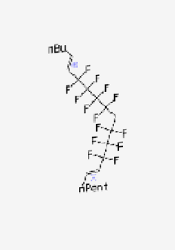 CCCC/C=C/C(F)(F)C(F)(F)C(F)(F)C(F)(F)CC(F)(F)C(F)(F)C(F)(F)/C=C/CCCCC